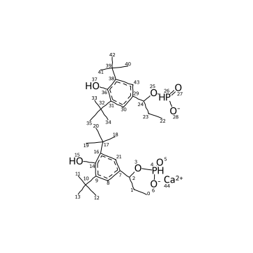 CCC(O[PH](=O)[O-])c1cc(C(C)(C)C)c(O)c(C(C)(C)C)c1.CCC(O[PH](=O)[O-])c1cc(C(C)(C)C)c(O)c(C(C)(C)C)c1.[Ca+2]